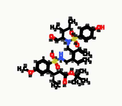 C=C/C(CNS(=O)(=O)c1ccc(OC)cc1[C@@H](CC)CC(=O)OC(C)(C)C)=C(\C=C)CN(C(C=O)C(C)CC)S(=O)(=O)c1ccc(O)cc1